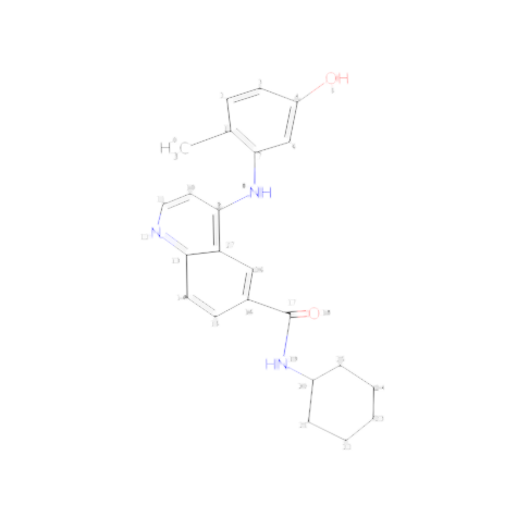 Cc1ccc(O)cc1Nc1ccnc2ccc(C(=O)NC3CCCCC3)cc12